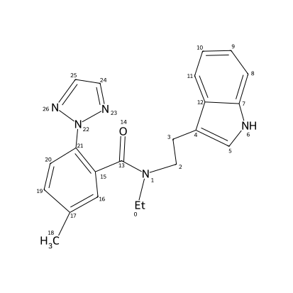 CCN(CCc1c[nH]c2ccccc12)C(=O)c1cc(C)ccc1-n1nccn1